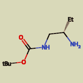 CC[C@H](N)CNC(=O)OC(C)(C)C